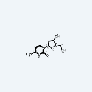 Nc1ccn([C@H]2CC(O)[C@@H](CO)O2)c(=O)n1